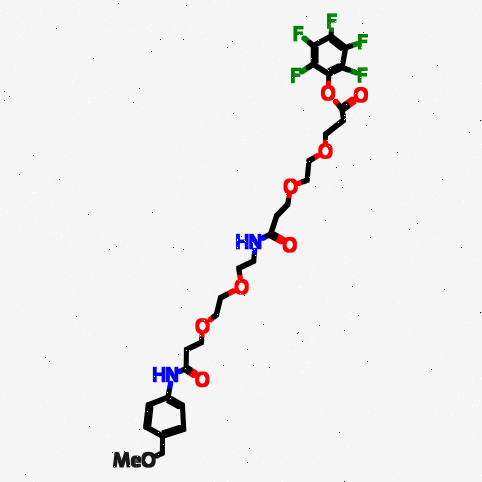 COCc1ccc(NC(=O)CCOCCOCCNC(=O)CCOCCOCCC(=O)Oc2c(F)c(F)c(F)c(F)c2F)cc1